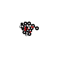 c1ccc(-c2ccc(-c3ccccc3N(c3cccc4c3-c3ccccc3C43c4ccccc4Oc4ccccc43)c3cccc4ccc5c(c34)-c3ccccc3C53c4ccccc4Oc4ccccc43)cc2)cc1